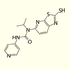 CC(C)N(C(=O)Nc1ccncc1)c1ccc2nc(S)sc2n1